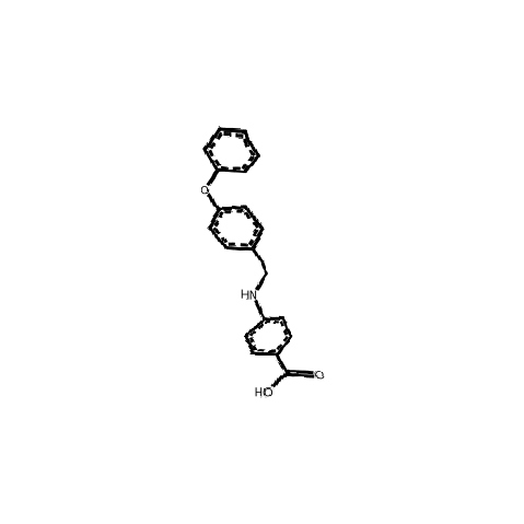 O=C(O)c1ccc(NCc2ccc(Oc3ccccc3)cc2)cc1